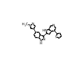 Cn1cc(-c2ccc3[nH]nc(-c4cc5c(-c6cccs6)cncc5[nH]4)c3c2)cn1